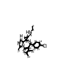 CCNC[C@@H]1C[C@]12N=C(c1ccc(Cl)cc1)c1c(sc(C)c1C)N1C(C)=NNC12